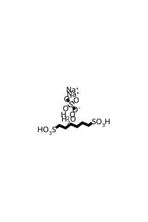 O.O.O=S(=O)(O)CCCCCCS(=O)(=O)O.O=S(=O)([O-])[O-].[Na+].[Na+]